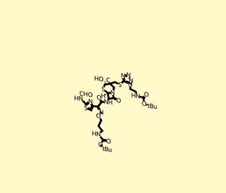 CC(C)(C)OC(=O)NCCCON=C(C(=O)NC1C(=O)N2CC(CSc3nnnn3CCNC(=O)OC(C)(C)C)(C(=O)O)CS[C@H]12)c1csc(NC=O)n1